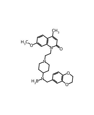 BN(Cc1ccc2c(c1)OCCO2)C1CCN(CCn2c(=O)cc(C)c3ccc(OC)cc32)CC1